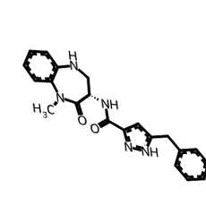 CN1C(=O)[C@@H](NC(=O)c2cc(Cc3ccccc3)[nH]n2)CNc2ccccc21